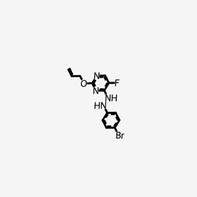 C=CCOc1ncc(F)c(NNc2ccc(Br)cc2)n1